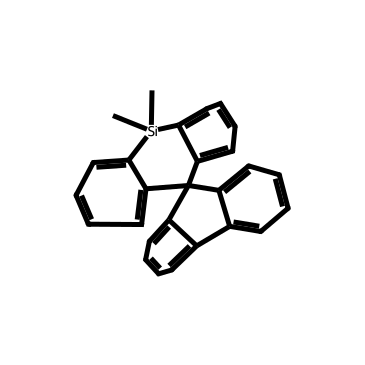 C[Si]1(C)c2ccccc2C2(c3ccccc3-c3ccccc32)c2ccccc21